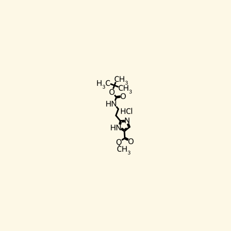 COC(=O)c1cnc(CCNC(=O)OC(C)(C)C)[nH]1.Cl